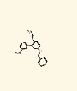 COc1cccc(-c2cc(OCc3ccccc3)ccc2/C=C/[N+](=O)[O-])c1